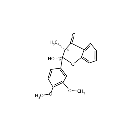 COc1ccc([C@]2(O)Oc3ccccc3C(=O)[C@H]2C)cc1OC